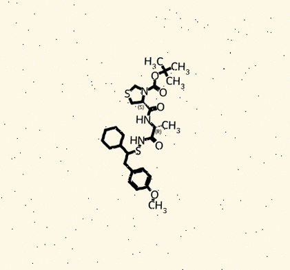 COc1ccc(CC(SNC(=O)[C@@H](C)NC(=O)[C@H]2CSCN2C(=O)OC(C)(C)C)C2CCCCC2)cc1